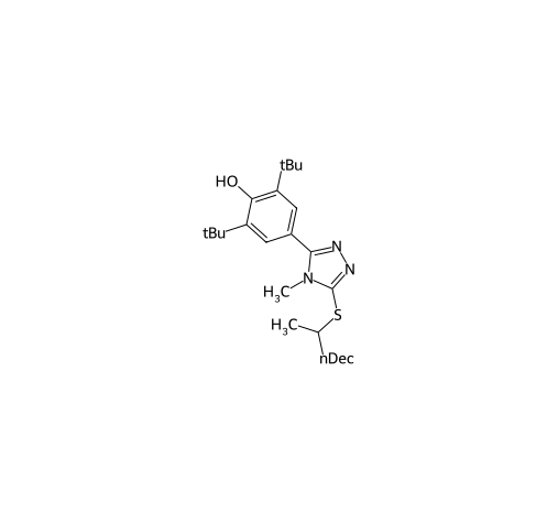 CCCCCCCCCCC(C)Sc1nnc(-c2cc(C(C)(C)C)c(O)c(C(C)(C)C)c2)n1C